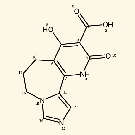 O=C(O)c1c(O)c2c([nH]c1=O)-c1cncn1CCC2